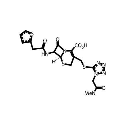 CNC(=O)Cn1nnnc1SCC1=C(C(=O)O)N2C(=O)C(NC(=O)Cc3cccs3)[C@@H]2SC1